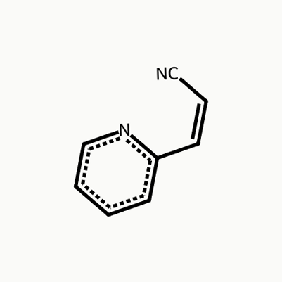 N#C/C=C\c1ccccn1